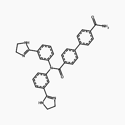 NC(=O)c1ccc(-c2ccc(C(=O)N(c3cccc(C4=NCCN4)c3)c3cccc(C4=NCCN4)c3)cc2)cc1